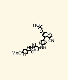 C=C(CC(CC)(CC)NC(=O)c1ccc(OC)nc1)Nc1cnc(-c2cc(OCC(C)(C)O)cn3ncc(C#N)c23)cn1